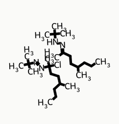 CCCC(C)CC/C(C)=N/NC(C)(C)C.CCCC(C)CCC(C)(Cl)/N=N/C(C)(C)C